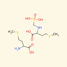 CSCCC(N)C(=O)O.CSCCC(NCP(=O)(O)O)C(=O)O